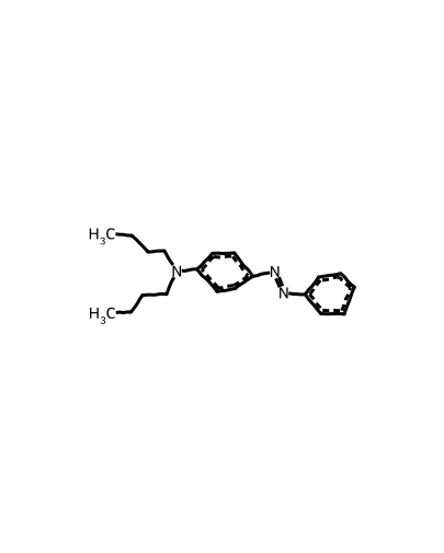 CCCCN(CCCC)c1ccc(N=Nc2ccccc2)cc1